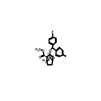 COC(=O)[C@H]1[C@@H](OC(c2ccc(F)cc2)c2ccc(F)cc2)CC2CC[C@@H]1N2C